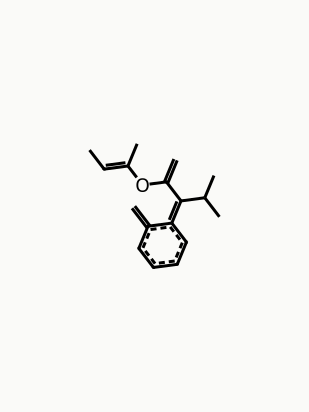 C=C(O/C(C)=C/C)/C(=c1/ccccc1=C)C(C)C